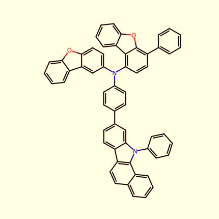 c1ccc(-c2ccc(N(c3ccc(-c4ccc5c6ccc7ccccc7c6n(-c6ccccc6)c5c4)cc3)c3ccc4oc5ccccc5c4c3)c3c2oc2ccccc23)cc1